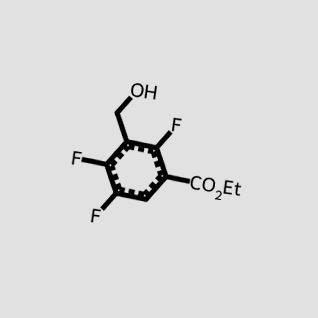 CCOC(=O)c1cc(F)c(F)c(CO)c1F